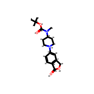 CN(C(=O)OC(C)(C)C)C1CCN(c2ccc3c(c2)COC3=O)CC1